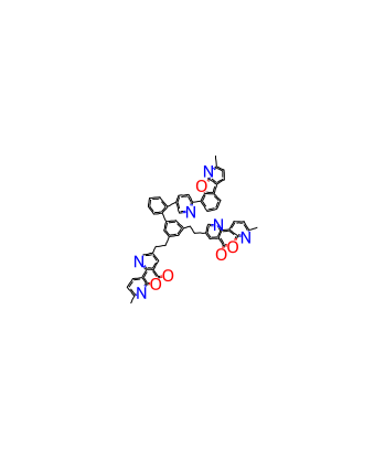 Cc1ccc2c(n1)oc1c(-c3ccc(-c4ccccc4-c4cc(CCc5cnc6c(c5)c(=O)oc5nc(C)ccc56)cc(CCc5cnc6c(c5)c(=O)oc5nc(C)ccc56)c4)cn3)cccc12